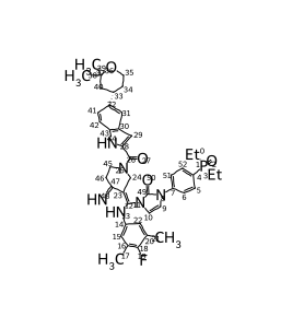 CCP(=O)(CC)c1ccc(-n2ccn(/C(Nc3cc(C)c(F)c(C)c3)=C3\CN(C(=O)c4cc5cc([C@H]6CCOC(C)(C)C6)ccc5[nH]4)CCC3=N)c2=O)cc1